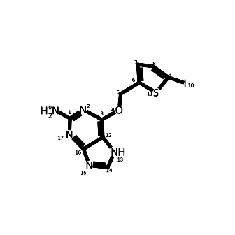 Nc1nc(OCc2ccc(I)s2)c2[nH]cnc2n1